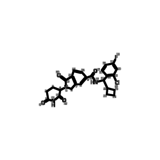 O=C1CCC(N2Cc3cc(C(=O)NC(c4ccc(F)cc4Cl)C4CCC4)ccc3C2=O)C(=O)N1